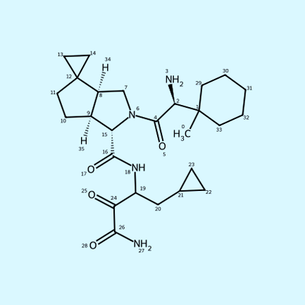 CC1([C@H](N)C(=O)N2C[C@H]3[C@H](CCC34CC4)[C@H]2C(=O)NC(CC2CC2)C(=O)C(N)=O)CCCCC1